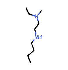 CCCCNCCN(C)CC